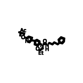 CCC1CN(C(=O)NCCCCc2ccccc2)c2ccc(-c3ccc(OCC(C)(C)C(C)=O)nc3)cc2O1